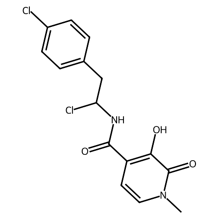 Cn1ccc(C(=O)NC(Cl)Cc2ccc(Cl)cc2)c(O)c1=O